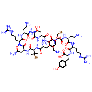 C[C@@H](O)[C@H](NC(=O)[C@H](CCN)NC(=O)[C@H](CCCNC(=N)N)NC(=O)[C@H](CC(N)=O)NC(=O)[C@@H](NC(=O)[C@@H](N)Cc1ccc(O)cc1)C(C)(C)S)C(=O)N[C@H](CCN)C(=O)N[C@@H](CCCN)C(=O)N[C@@H](CS)C(=O)N[C@@H](CCN)C(=O)N[C@@H](CCCNC(=N)N)C(=O)N[C@@H](Cc1ccc(O)cc1)C(=O)O